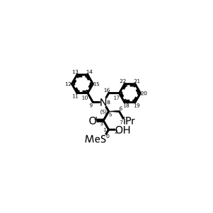 CSC(O)C(=O)[C@H](CC(C)C)N(Cc1ccccc1)Cc1ccccc1